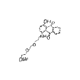 COCCOCCOCCCNc1ccc(O)c2c1C(=O)c1ccccc1C2=O